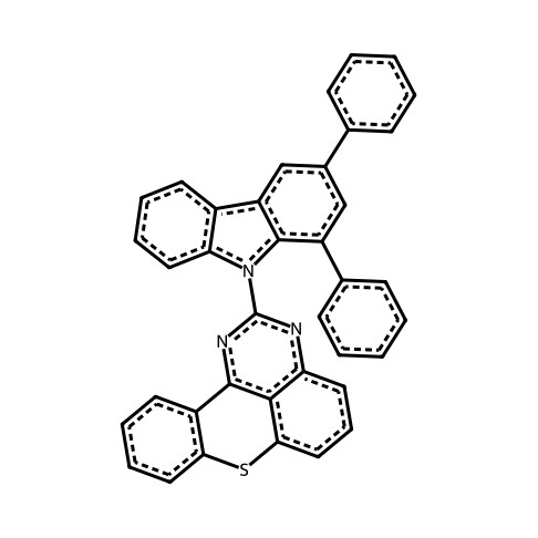 c1ccc(-c2cc(-c3ccccc3)c3c(c2)c2ccccc2n3-c2nc3c4c(cccc4n2)Sc2ccccc2-3)cc1